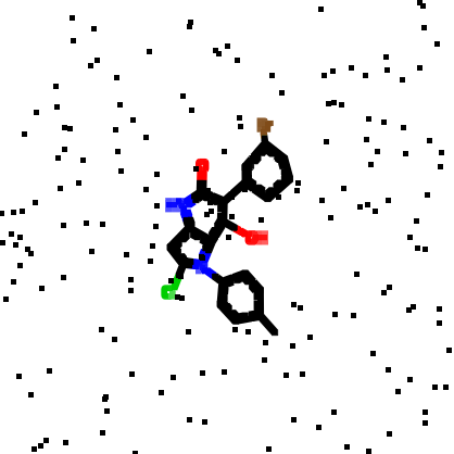 Cc1ccc(-n2c(Cl)cc3[nH]c(=O)c(-c4cccc(Br)c4)c(O)c32)cc1